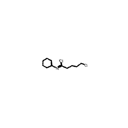 ClCCCC/C(Cl)=N/C1CCCCC1